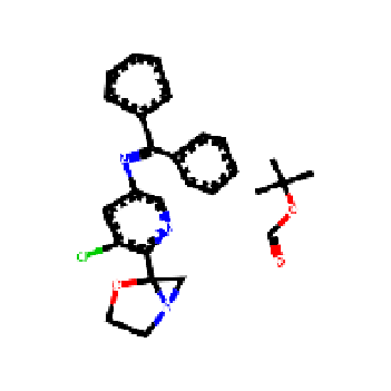 CC(C)(C)OC=O.Clc1cc(N=C(c2ccccc2)c2ccccc2)cnc1C12CN1CCO2